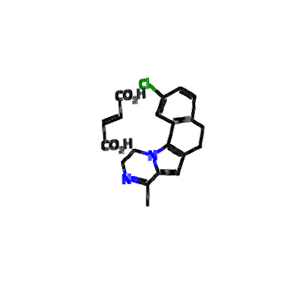 CC1=NCCn2c1cc1c2-c2cc(Cl)ccc2CC1.O=C(O)C=CC(=O)O